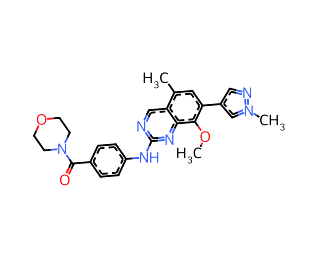 COc1c(-c2cnn(C)c2)cc(C)c2cnc(Nc3ccc(C(=O)N4CCOCC4)cc3)nc12